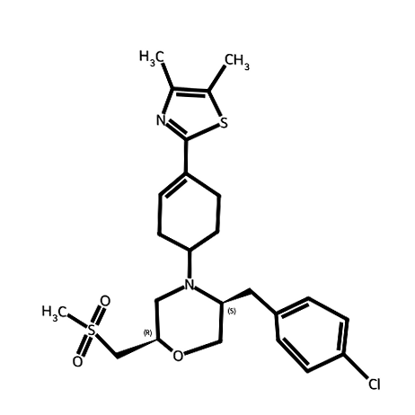 Cc1nc(C2=CCC(N3C[C@H](CS(C)(=O)=O)OC[C@@H]3Cc3ccc(Cl)cc3)CC2)sc1C